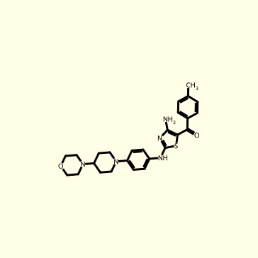 Cc1ccc(C(=O)c2sc(Nc3ccc(N4CCC(N5CCOCC5)CC4)cc3)nc2N)cc1